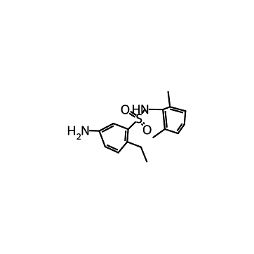 CCc1ccc(N)cc1S(=O)(=O)Nc1c(C)cccc1C